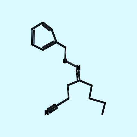 CCCCC(CCC#N)=NOCc1ccccc1